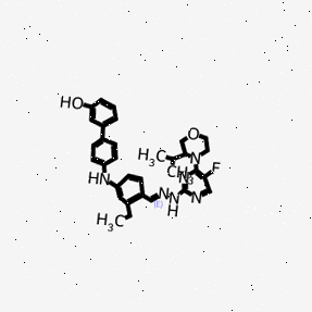 CCc1cc(Nc2ccc(-c3cccc(O)c3)cc2)ccc1/C=N/Nc1ncc(F)c(N2CCOCC2C(C)C)n1